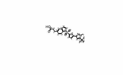 Cn1nc(-c2ccc(S(=O)(=O)n3ccc4cc(CCC(=O)O)ccc43)s2)cc1C(F)(F)F